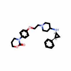 O=C1OCCCN1c1ccc(OCCN2CCC(N[C@@H]3C[C@H]3c3ccccc3)CC2)cc1